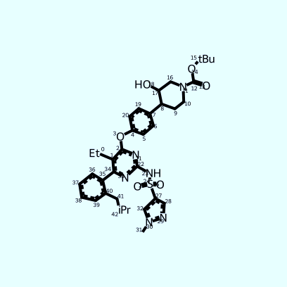 CCc1c(Oc2ccc(C3CCN(C(=O)OC(C)(C)C)CC3O)cc2)nc(NS(=O)(=O)c2cnn(C)c2)nc1-c1ccccc1CC(C)C